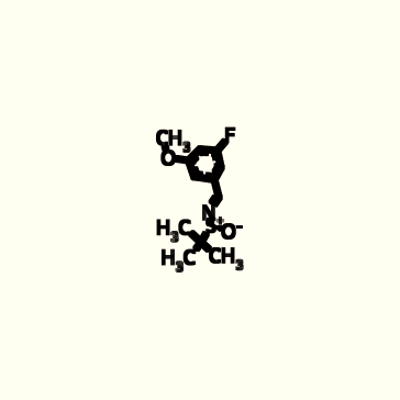 COc1cc(F)cc(C=N[S@@+]([O-])C(C)(C)C)c1